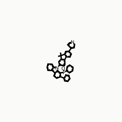 CC1(C)c2cc(-c3ccncc3)ccc2-c2ccc(-n3c4ccccc4c4ccc5c(c43)P(=O)(c3ccccc3)c3ccccc3-5)cc21